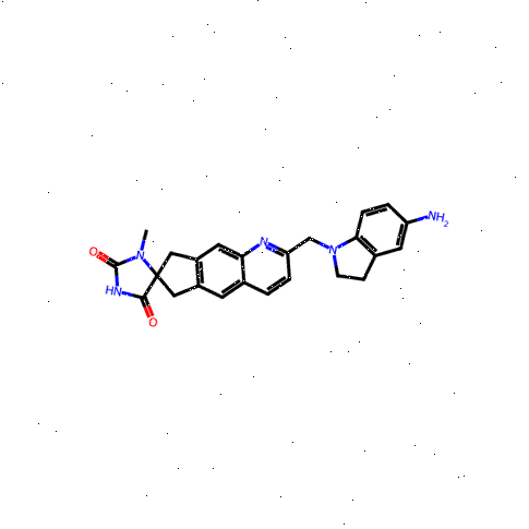 CN1C(=O)NC(=O)C12Cc1cc3ccc(CN4CCc5cc(N)ccc54)nc3cc1C2